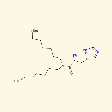 CCCCCCCCCCCCCCCCN(CCCCCCCCCCCCCCCC)C(=O)C(N)Cc1cnc[nH]1